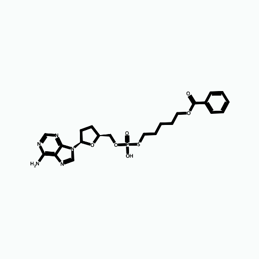 Nc1ncnc2c1ncn2[C@H]1CC[C@@H](COP(=O)(O)SCCCCCOC(=O)c2ccccc2)O1